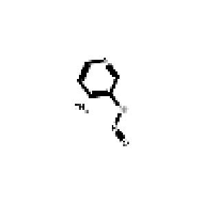 C.O=NNc1cccnc1